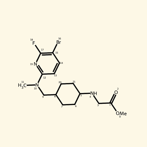 COC(=O)CNC1CCC(CN(C)c2ccc(Br)c(F)n2)CC1